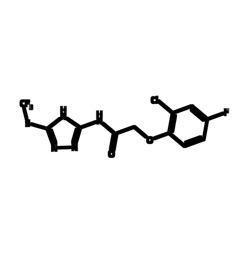 O=C(COc1ccc(F)cc1Cl)Nc1nnc(SC(F)(F)F)[nH]1